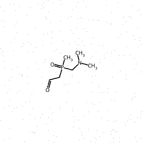 CN(C)CP(C)(=O)CC=O